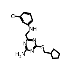 Nc1nc(CNc2cccc(Cl)c2)nc(SCC2CCCC2)n1